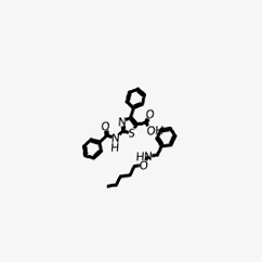 CCCCCONCc1ccccc1.O=C(Nc1nc(-c2ccccc2)c(C(=O)O)s1)c1ccccc1